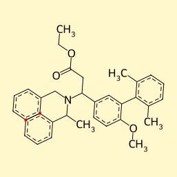 CCOC(=O)CC(c1ccc(OC)c(-c2c(C)cccc2C)c1)N(Cc1ccccc1)C(C)c1ccccc1